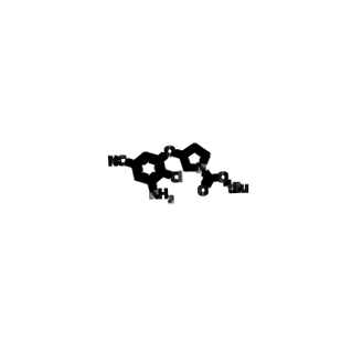 CC(C)(C)OC(=O)N1CCC(Oc2cc(C#N)cc(N)c2Cl)C1